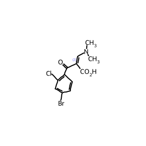 CN(C)/C=C(\C(=O)O)C(=O)c1ccc(Br)cc1Cl